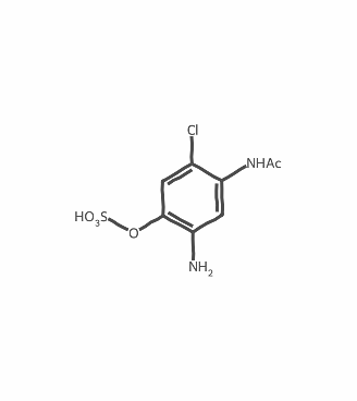 CC(=O)Nc1cc(N)c(OS(=O)(=O)O)cc1Cl